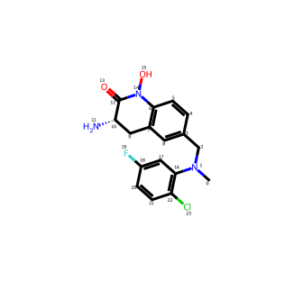 CN(Cc1ccc2c(c1)C[C@H](N)C(=O)N2O)c1cc(F)ccc1Cl